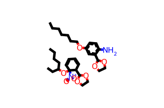 CCCCC(CC)OC1([N+](=O)[O-])C=CC=CC1C1OCCO1.CCCCCCCOc1ccc(N)c(C2OCCO2)c1